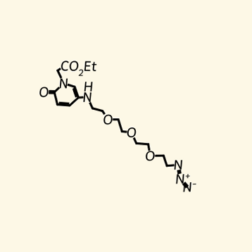 CCOC(=O)Cn1cc(NCCOCCOCCOCCN=[N+]=[N-])ccc1=O